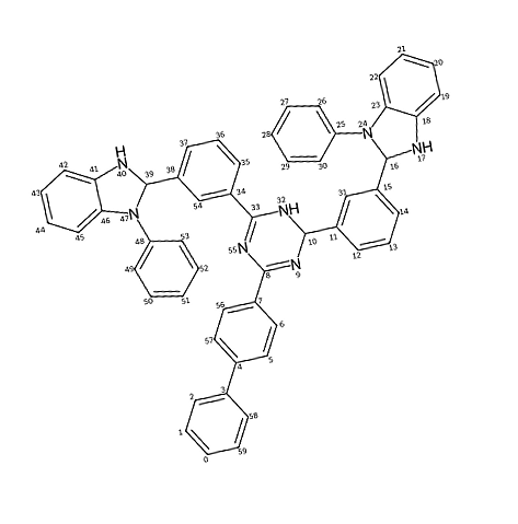 c1ccc(-c2ccc(C3=NC(c4cccc(C5Nc6ccccc6N5c5ccccc5)c4)NC(c4cccc(C5Nc6ccccc6N5c5ccccc5)c4)=N3)cc2)cc1